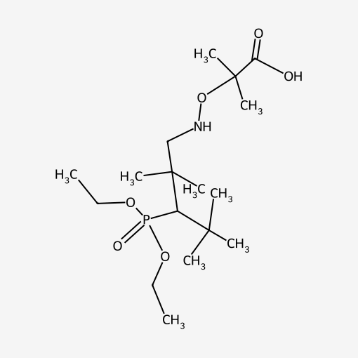 CCOP(=O)(OCC)C(C(C)(C)C)C(C)(C)CNOC(C)(C)C(=O)O